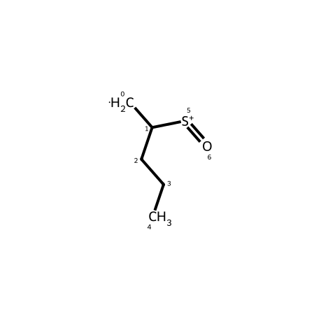 [CH2]C(CCC)[S+]=O